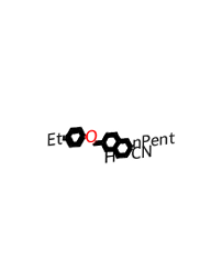 CCCCC[C@]1(C#N)CC[C@@H]2CC(COc3ccc(CC)cc3)CCC2C1